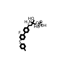 Cc1ccc(Sc2ccc(-c3ccc(CCC(N)(CO)COP(=O)(O)O)cc3)c(F)c2)cc1